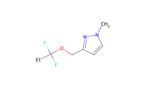 CCC(F)(F)OCc1ccn(C)n1